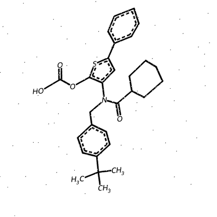 CC(C)(C)c1ccc(CN(C(=O)C2CCCCC2)c2cc(-c3ccccc3)sc2OC(=O)O)cc1